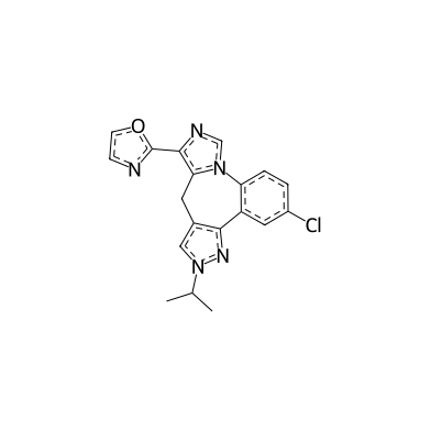 CC(C)n1cc2c(n1)-c1cc(Cl)ccc1-n1cnc(-c3ncco3)c1C2